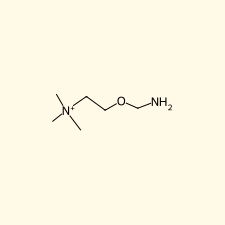 C[N+](C)(C)CCOCN